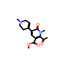 COC(=O)c1cc(C2=CCN(C)CC2)c(=O)n(C)c1C(C)=O